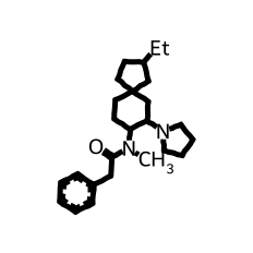 CCC1CCC2(CCC(N(C)C(=O)Cc3ccccc3)C(N3CCCC3)C2)C1